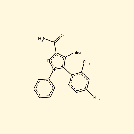 CCCCc1c(C(N)=O)nn(-c2ccccc2)c1-c1ncc(N)cc1C